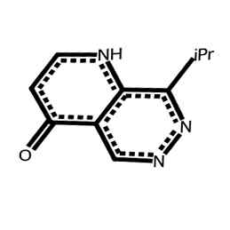 CC(C)c1nncc2c(=O)cc[nH]c12